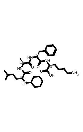 CC(C)CC[C@H](NC1CCCCC1)C(=O)N[C@@H](C)C(=O)N[C@@H](Cc1ccccc1)C(=O)N[C@@H](CCCCN)C(=O)O